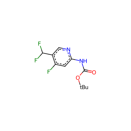 CC(C)(C)OC(=O)Nc1cc(F)c(C(F)F)cn1